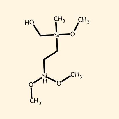 CO[SiH](CC[Si](C)(CO)OC)OC